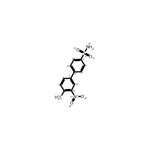 Cc1ccc(-c2ccc(S(N)(=O)=O)cc2)cc1[N+](=O)[O-]